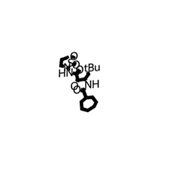 CC(C)(C)CC(NC(=O)C1CCCCCC1)C(=O)C(=O)NN1CCCS1(=O)=O